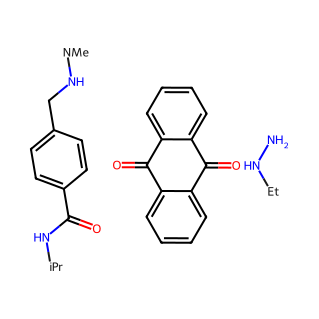 CCNN.CNNCc1ccc(C(=O)NC(C)C)cc1.O=C1c2ccccc2C(=O)c2ccccc21